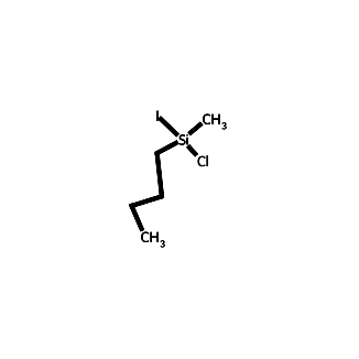 CCCC[Si](C)(Cl)I